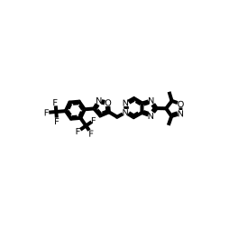 CC1=NOC(C)C1c1nc2cnn(Cc3cc(-c4ccc(C(F)(F)F)cc4C(F)(F)F)no3)cc-2n1